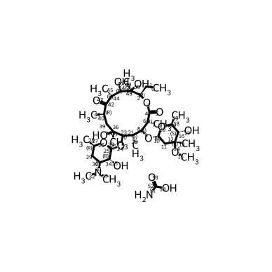 CC[C@H]1OC(=O)[C@H](C)[C@@H](O[C@H]2C[C@@](C)(OC)[C@@H](O)[C@H](C)O2)[C@H](C)[C@@H](O[C@@H]2O[C@H](C)C[C@H](N(C)C)[C@H]2O)[C@](C)(O)C[C@@H](C)C(=O)[C@H](C)[C@@H](O)[C@]1(C)O.NC(=O)O